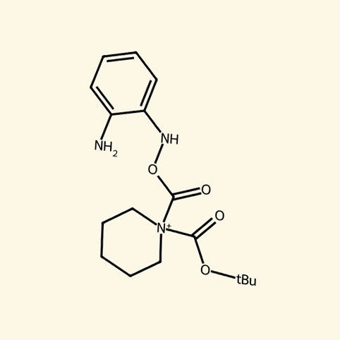 CC(C)(C)OC(=O)[N+]1(C(=O)ONc2ccccc2N)CCCCC1